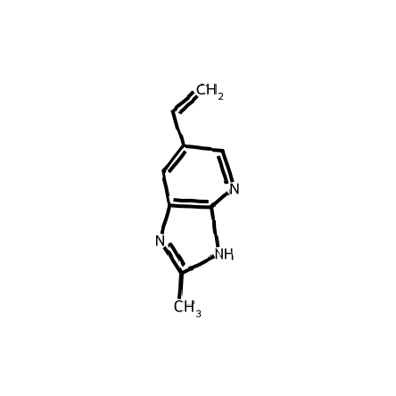 C=Cc1cnc2[nH]c(C)nc2c1